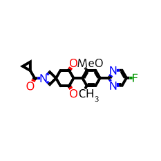 COc1cc(-c2ncc(F)cn2)cc(C)c1C1C(=O)CC2(CC1=O)CN(C(=O)C1CC1)C2